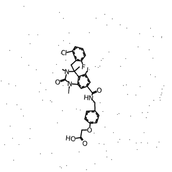 CN1C(=O)N(I)c2cc(C(=O)NCc3ccc(OCC(=O)O)cc3)cc(I)c2C1(C)Cc1c(F)cccc1Cl